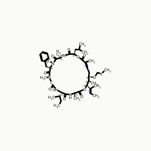 C/C=C(\C)[C@H]1OC(=O)[C@@H](C)NC(=O)[C@H](C(C)CC)NC(=O)CN(C)C(=O)[C@@H](Cc2ccccc2)N(C)C(=O)[C@H](C)NC(=O)[C@@H](CC(C)C)OC(=O)/C(C)=C/C[C@@H](OCSC)[C@H]1C